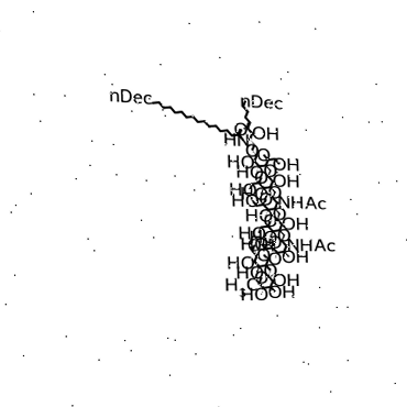 CCCCCCCCCCCCC/C=C/[C@@H](O)[C@H](CO[C@@H]1OC(CO)[C@@H](O[C@@H]2OC(CO)[C@H](O)[C@H](O[C@@H]3OC(CO)[C@@H](O)[C@H](O[C@@H]4OC(CO)[C@H](O)[C@H](O[C@@H]5OC(CO)[C@@H](O[C@@H]6OC(CO)[C@H](O)[C@H](O)C6O[C@H]6OC(C)[C@@H](O)C(O)[C@@H]6O)[C@H](O)C5NC(C)=O)C4O)C3NC(C)=O)C2O)[C@H](O)C1O)NC(=O)CCCCCCCCCCCCCCCCCCCCCCCCC